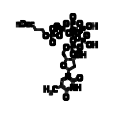 CCCCCCCCCCCCOP(=O)(O)OP(=O)(O)OP(=O)(O)OP(=O)(O)OP(=O)(O)OP(=O)(O)OC[C@@H]1O[C@H](n2cc(C)c(=O)[nH]c2=O)CC1O